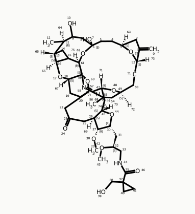 C=C1C[C@@H]2CC[C@@]3(O)CC(O)[C@H](C)[C@@H]4CC5[C@H]4O[C@H]4CC[C@@H]6CC(=O)C[C@@H]7[C@@H](OC)[C@@H](C[C@@H](CNC(=O)C8(CO)CC8)OC)O[C@H]7C[C@H]7O[C@@H](CC[C@@H]1O2)C[C@@H](C)C7=N[C@@]4(O6)[C@@H]5O3